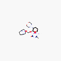 CCn1c(C)nc(=O)n(CCCN2C3CCC2CC(OCc2ccccc2N2CCOCC2)C3)c1=O